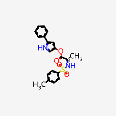 Cc1ccc(S(=O)(=O)N[C@@H](C)C(=O)Oc2c[nH]c(-c3ccccc3)c2)cc1